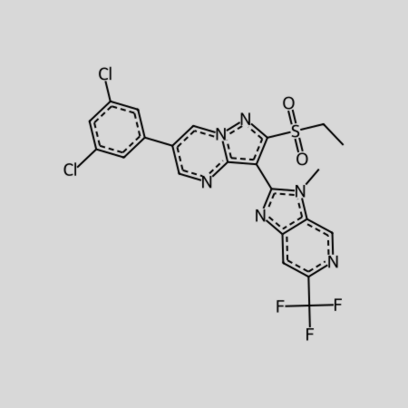 CCS(=O)(=O)c1nn2cc(-c3cc(Cl)cc(Cl)c3)cnc2c1-c1nc2cc(C(F)(F)F)ncc2n1C